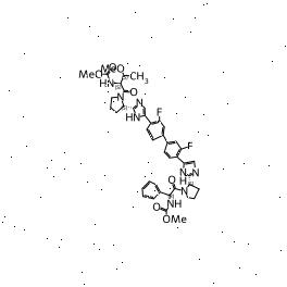 COC(=O)N[C@H](C(=O)N1CCC[C@H]1c1ncc(-c2ccc(-c3ccc(-c4cnc([C@@H]5CCCN5C(=O)[C@H](NC(=O)OC)c5ccccc5)[nH]4)c(F)c3)cc2F)[nH]1)[C@H](C)OC